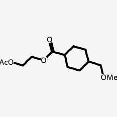 COCC1CCC(C(=O)OCCOC(C)=O)CC1